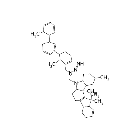 CC1C=CC2C(C1)C1(C)C3=C(CCC1N2CN(CC1=CCCC(C2=CC(C4C=CC=CC4C)CC=C2)C1C)N=N)C1CCC=CC1C3(C)C